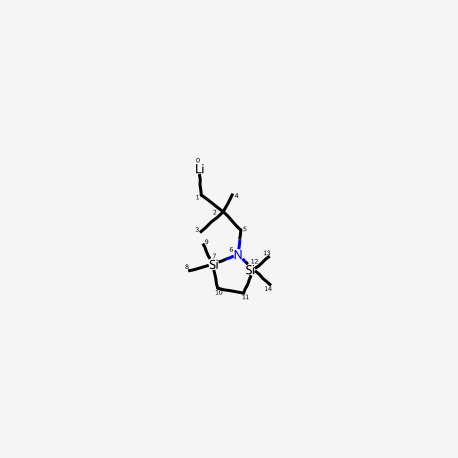 [Li][CH2]C(C)(C)CN1[Si](C)(C)CC[Si]1(C)C